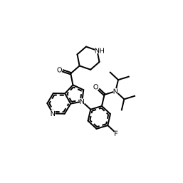 CC(C)N(C(=O)c1cc(F)ccc1-n1cc(C(=O)C2CCNCC2)c2ccncc21)C(C)C